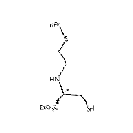 CCCSCCN[C@@H](CS)C(=O)OCC